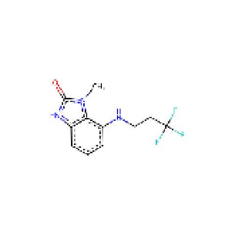 Cn1c(=O)[nH]c2cccc(NCCC(F)(F)F)c21